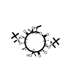 CC[C@H]1OC(=O)[C@H](C)[C@@H](O[Si](C)(C)C(C)(C)C)[C@@H](Cl)C(=O)[C@](C)(O)C[C@@H](C)[C@H](O[Si](C)(C)C(C)(C)C)[C@@H](Cl)C(=O)[C@]1(C)O